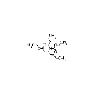 CCCCC(CC(=O)OCC)N(CCCC)C(=O)OCC